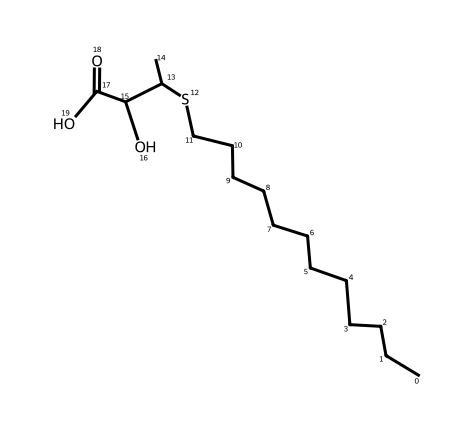 CCCCCCCCCCCCSC(C)C(O)C(=O)O